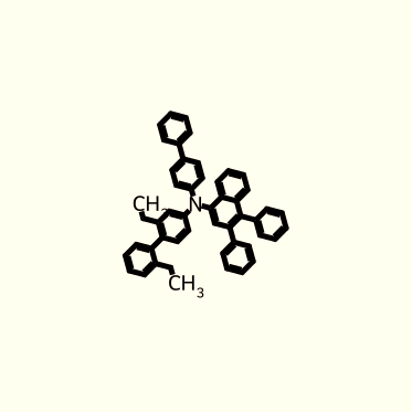 CCc1ccccc1-c1ccc(N(c2ccc(-c3ccccc3)cc2)c2cc(-c3ccccc3)c(-c3ccccc3)c3ccccc23)cc1CC